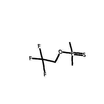 CP(C)(=S)OCC(F)(F)F